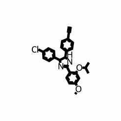 C#Cc1ccc(C2NC(c3ccc(OC)cc3OC(C)C)=NC2c2ccc(Cl)cc2)cc1